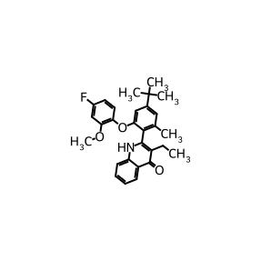 CCc1c(-c2c(C)cc(C(C)(C)C)cc2Oc2ccc(F)cc2OC)[nH]c2ccccc2c1=O